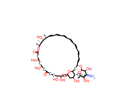 CC1OC(O[C@H]2/C=C/C=C/C=C/C=C/C=C/C=C/C=C/[C@H](C)[C@@H](O)[C@@H](C)[C@H](C)OC(=O)C[C@H](O)C[C@H](O)CC(=O)CC[C@@H](O)[C@H](O)C[C@]3(O)C[C@H](O)[C@@H](C(=O)O)C(C2)O3)C(O)C(N)C1O